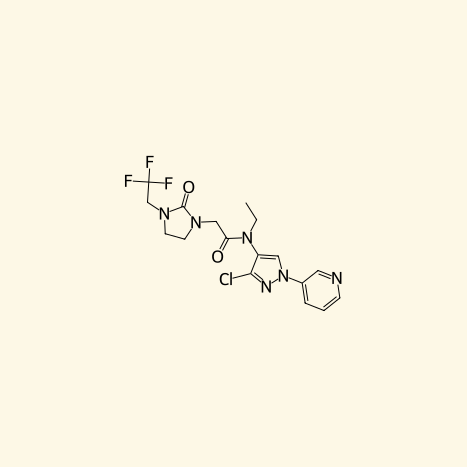 CCN(C(=O)CN1CCN(CC(F)(F)F)C1=O)c1cn(-c2cccnc2)nc1Cl